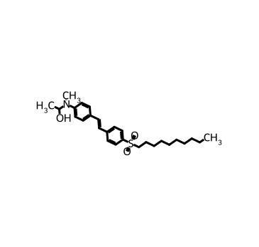 CCCCCCCCCCS(=O)(=O)c1ccc(C=Cc2ccc(N(C)C(C)O)cc2)cc1